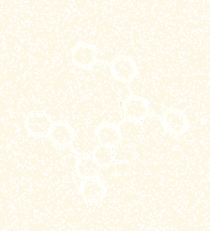 CC1(C)c2cc(-c3nc(-c4ccccc4)cc(-c4cccc(-c5ccccc5)c4)n3)ccc2-c2c(-c3ccc4c(c3)CCC=C4)cc3ccccc3c21